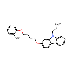 COc1ccccc1OCCCCOc1ccc2c3ccccc3n(CCC(=O)O)c2c1